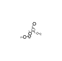 CO[C@H]1C[C@@H](CN2CCN(Cc3ccccc3)C[C@@H]2c2cc3cnn(-c4ccc(F)cc4)c3cc2C)C1